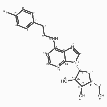 OC[C@H]1O[C@@H](n2cnc3c(NCCc4ccc(F)cc4)ncnc32)[C@H](O)[C@@H]1O